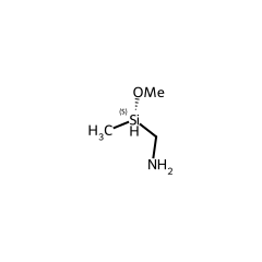 CO[Si@@H](C)CN